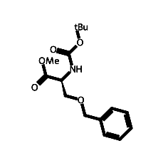 COC(=O)[C@H](COCc1ccccc1)NC(=O)OC(C)(C)C